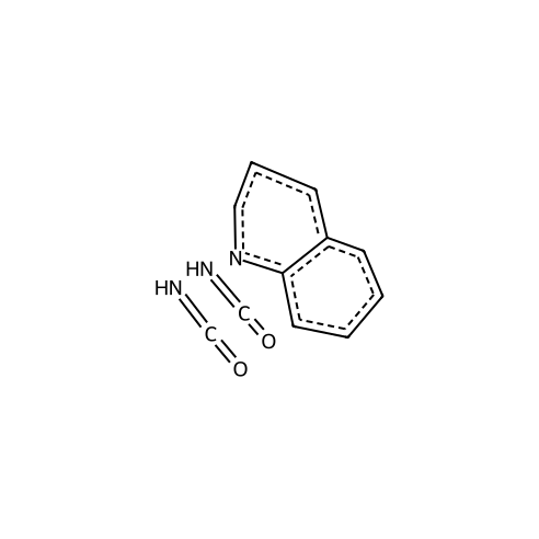 N=C=O.N=C=O.c1ccc2ncccc2c1